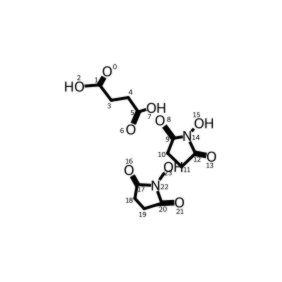 O=C(O)CCC(=O)O.O=C1CCC(=O)N1O.O=C1CCC(=O)N1O